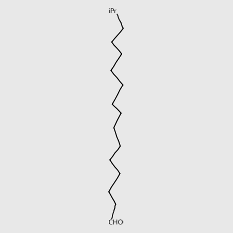 CC(C)CCCCCCCCCCCCC[C]=O